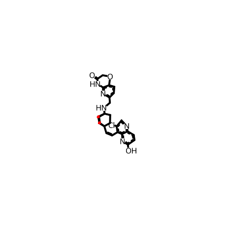 O=C1COc2ccc(CNC34CCC(/C=C\c5c(Cl)cnc6ccc(O)nc56)(CC3)CC4)nc2N1